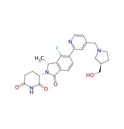 C[C@@H]1c2c(ccc(-c3cc(CN4CC[C@@H](CO)C4)ccn3)c2F)C(=O)N1[C@H]1CCC(=O)NC1=O